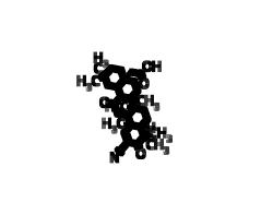 CC1(C)CC[C@]2(CC(=O)O)CC[C@]3(C)C(C(=O)C=C4[C@@]5(C)C=C(C#N)C(=O)C(C)(C)[C@@H]5CC[C@]43C)C2C1